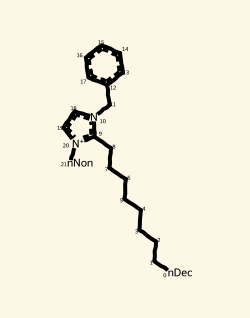 CCCCCCCCCCCCCCCCCCc1n(Cc2ccccc2)cc[n+]1CCCCCCCCC